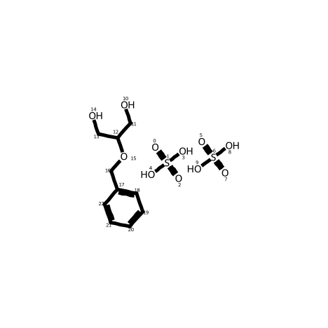 O=S(=O)(O)O.O=S(=O)(O)O.OCC(CO)OCc1ccccc1